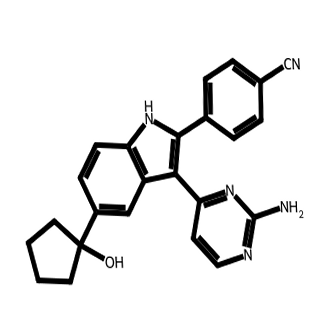 N#Cc1ccc(-c2[nH]c3ccc(C4(O)CCCC4)cc3c2-c2ccnc(N)n2)cc1